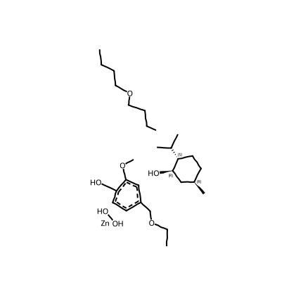 CC(C)[C@@H]1CC[C@@H](C)C[C@H]1O.CCCCOCCCC.CCOCc1ccc(O)c(OC)c1.OO.[Zn]